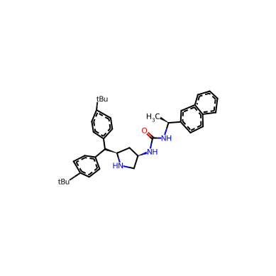 C[C@H](NC(=O)N[C@H]1CN[C@@H](C(c2ccc(C(C)(C)C)cc2)c2ccc(C(C)(C)C)cc2)C1)c1ccc2ccccc2c1